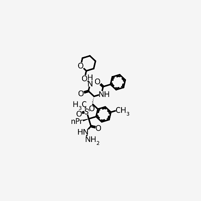 CCC[C@](C(=O)NN)(c1ccc(C)cc1C[C@@H](NC(=O)c1ccccc1)C(=O)NOC1CCCCO1)S(C)(=O)=O